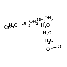 O.O.O.O.O.O.O.O.[Ca+2].[O-][O-]